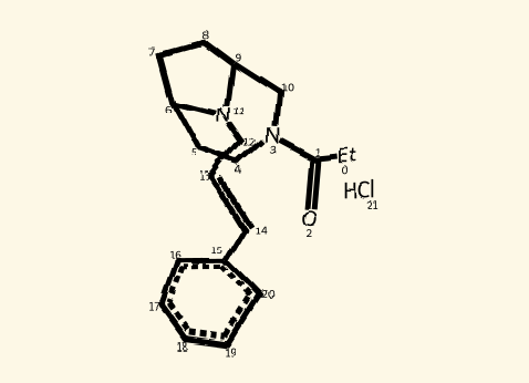 CCC(=O)N1CCC2CCC(C1)N2C/C=C/c1ccccc1.Cl